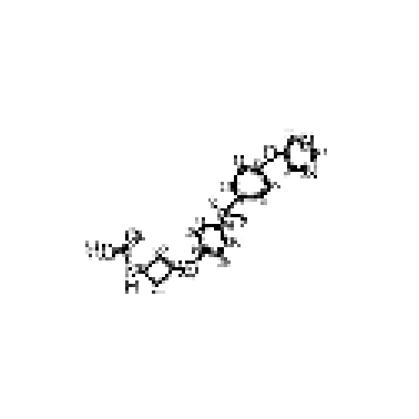 CC(C)(c1ccc(Oc2cncnc2)cc1)c1ccc(OC2CC(NC(=O)O)C2)cc1